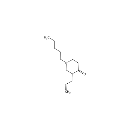 C=CCC1CN(CCCCC)CCC1=O